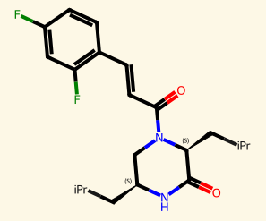 CC(C)C[C@H]1CN(C(=O)C=Cc2ccc(F)cc2F)[C@@H](CC(C)C)C(=O)N1